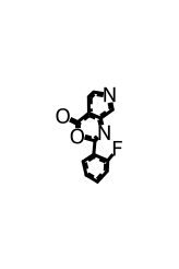 O=c1oc(-c2ccccc2F)nc2cnccc12